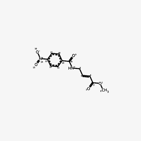 COC(=O)/C=C/CNC(=O)c1ccc([N+](=O)[O-])cc1